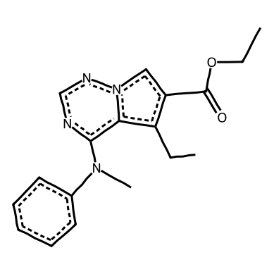 CCOC(=O)c1cn2ncnc(N(C)c3ccccc3)c2c1CC